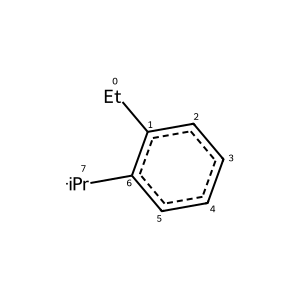 CCc1ccccc1[C](C)C